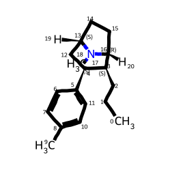 CCC[C@H]1[C@@H](c2ccc(C)cc2)C[C@@H]2CC[C@H]1N2C